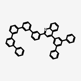 c1ccc(-c2cccc(-c3cccc(-c4cccc(-c5cccc(-c6cc(-c7cc(-c8ccccc8)cc(-c8ccccc8)c7)c7ccccc7n6)c5)c4)c3)c2)cc1